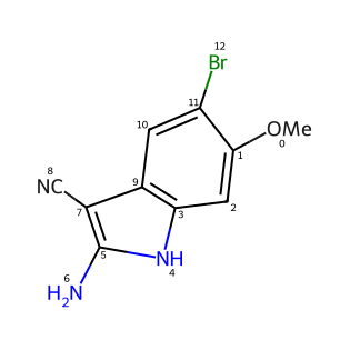 COc1cc2[nH]c(N)c(C#N)c2cc1Br